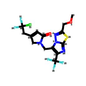 COCc1nn2c(CN3CC(CC(F)(F)Cl)=CC3=O)c(C(F)(F)F)nc2s1